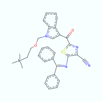 C[Si](C)(C)CCOCn1cc(C(=O)c2nc(C#N)c(N=C(c3ccccc3)c3ccccc3)s2)c2ccccc21